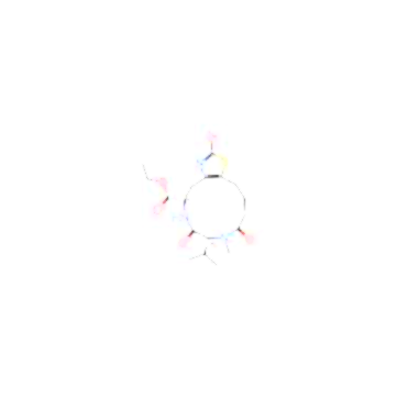 CCOC(=O)[C@@H]1Cc2nc(Br)sc2CCCC(=O)N(C)[C@@H](C(C)C)C(=O)N1